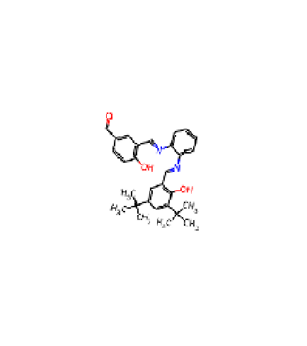 CC(C)(C)c1cc(C=Nc2ccccc2N=Cc2cc(C=O)ccc2O)c(O)c(C(C)(C)C)c1